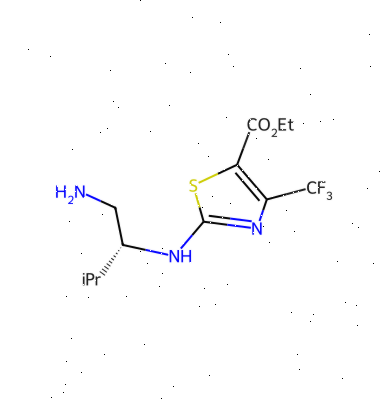 CCOC(=O)c1sc(N[C@@H](CN)C(C)C)nc1C(F)(F)F